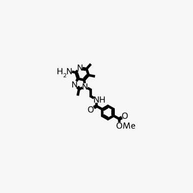 COC(=O)c1ccc(C(=O)NCCn2c(C)nc3c(N)nc(C)c(C)c32)cc1